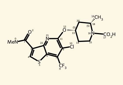 CNC(=O)c1csc2c(C(F)(F)F)c(Cl)c(O[C@H]3CCN(C(=O)O)[C@@H](C)C3)nc12